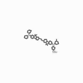 Cc1cccc(N(c2ccc(C(C)(C)C)cc2)c2ccc3c(c2)C(C)(C)c2cc(/C=C/c4ccc5c(c4)C(C)(C)c4cc(N(c6ccccc6)c6ccccc6)ccc4-5)ccc2-3)c1